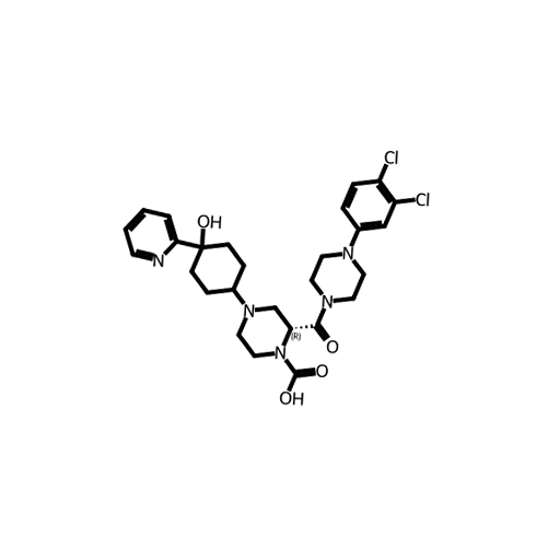 O=C([C@H]1CN(C2CCC(O)(c3ccccn3)CC2)CCN1C(=O)O)N1CCN(c2ccc(Cl)c(Cl)c2)CC1